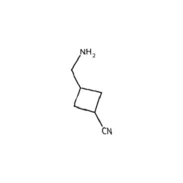 N#CC1CC(CN)C1